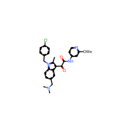 COc1cc(NC(=O)C(=O)c2c(C)n(Cc3ccc(Cl)cc3)c3ccc(CN(C)C)cc23)ccn1